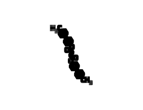 Cc1ccc(-c2ccc(OC(=O)CCC(=O)Oc3ccc(-c4ccc(C)cc4)cc3)cc2)cc1